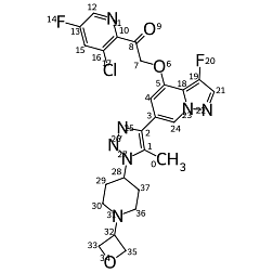 Cc1c(-c2cc(OCC(=O)c3ncc(F)cc3Cl)c3c(F)cnn3c2)nnn1C1CCN(C2COC2)CC1